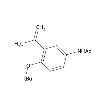 C=C(C)c1cc(NC(C)=O)ccc1OC(C)(C)C